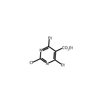 CCOC(=O)c1c(CC)nc(Cl)nc1CC